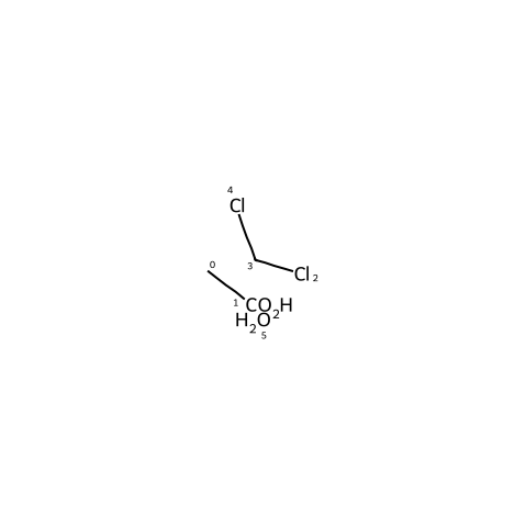 CC(=O)O.ClCCl.O